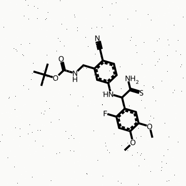 COc1cc(F)c(C(Nc2ccc(C#N)c(CNC(=O)OC(C)(C)C)c2)C(N)=S)cc1OC